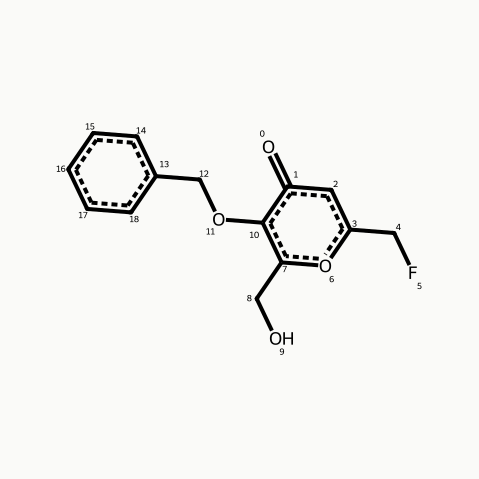 O=c1cc(CF)oc(CO)c1OCc1ccccc1